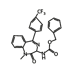 CN1C(=O)C(NC(=O)OCc2ccccc2)N=C(c2ccc(C(F)(F)F)cc2)c2ccccc21